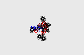 CC[Si](CC)(CC)O[C@@H]1[C@@H](NC(=O)OCC2c3ccccc3-c3ccccc32)[C@H](n2ccc(NC(=O)c3ccccc3)nc2=O)O[C@H](C(=O)OCc2ccccc2)[C@H]1O[Si](CC)(CC)CC